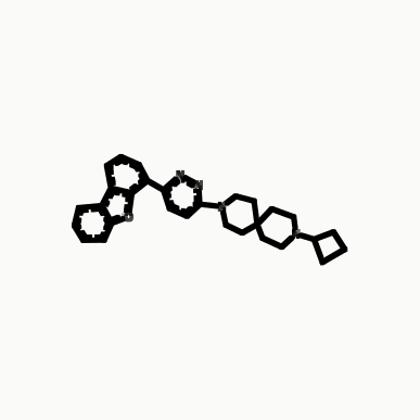 c1ccc2c(c1)oc1c(-c3ccc(N4CCC5(CC4)CCN(C4CCC4)CC5)nn3)cccc12